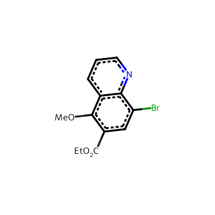 CCOC(=O)c1cc(Br)c2ncccc2c1OC